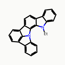 CCn1c2ccccc2c2ccc3c4cccc5c6ccccc6n(c54)c3c21